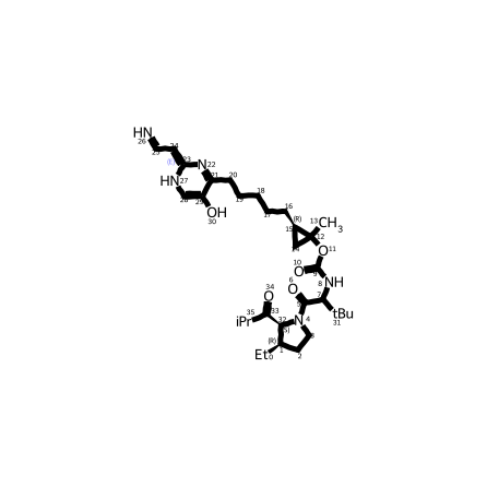 CC[C@@H]1CCN(C(=O)C(NC(=O)OC2(C)C[C@H]2CCCCCC2=N/C(=C/C=N)NC=C2O)C(C)(C)C)[C@@H]1C(=O)C(C)C